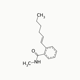 CCCC/C=C/c1ccccc1C(=O)NC